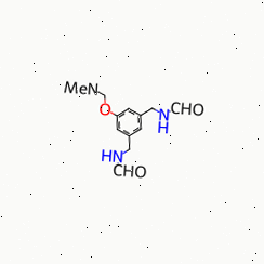 CNCOc1cc(CNC=O)cc(CNC=O)c1